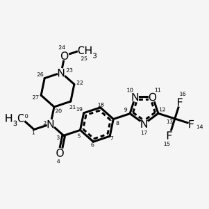 CCN(C(=O)c1ccc(-c2noc(C(F)(F)F)n2)cc1)C1CCN(OC)CC1